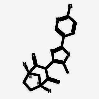 Cc1sc(-c2ccc(Cl)nc2)nc1C1C(=O)[C@@H]2CC[C@@H](C2)C1=O